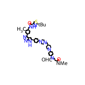 CNC(=O)CCN(C=O)c1ccc(N2CCC(CN3CCN(c4ccc(-c5cc6c(-c7ccc(CNC(=O)c8csc(C(C)(C)C)n8)c(C)c7)ncnc6[nH]5)cc4)CC3)CC2)cc1